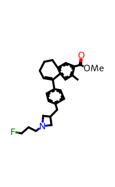 COC(=O)c1cc2c(cc1C)C(c1ccc(CC3CN(CCCF)C3)cc1)=CCCC2